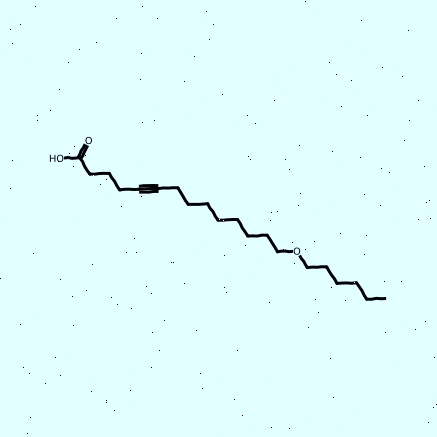 CCCCCCOCCCCCCCCC#CCCCC(=O)O